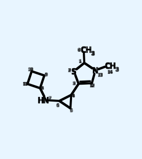 CC1SC(C2CC2NC2CCC2)=CN1C